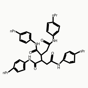 CCCc1ccc(NC(=O)CC(C(=O)Nc2ccc(CCC)cc2)C(CC(=O)Nc2ccc(CCC)cc2)C(=O)Nc2ccc(CCC)cc2)cc1